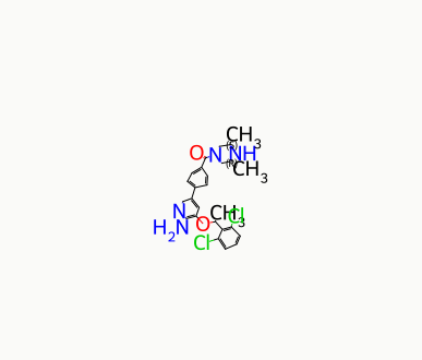 CC(Oc1cc(-c2ccc(C(=O)N3C[C@@H](C)N[C@@H](C)C3)cc2)cnc1N)c1c(Cl)cccc1Cl